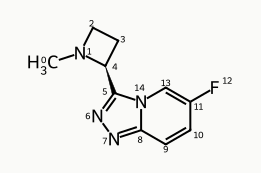 CN1CC[C@H]1c1nnc2ccc(F)cn12